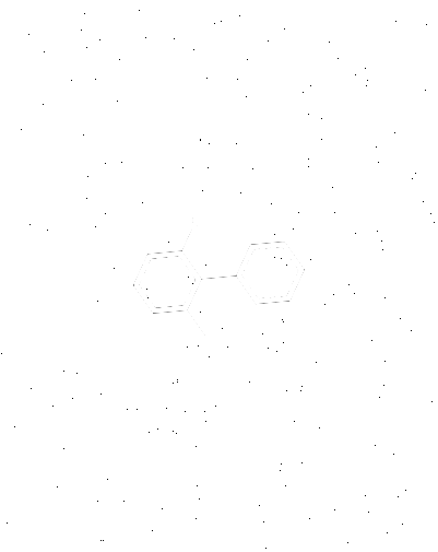 Cc1cccc(Cl)c1-c1ccccc1